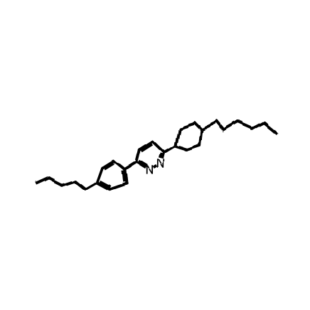 CCCCCCC1CCC(c2ccc(-c3ccc(CCCCC)cc3)nn2)CC1